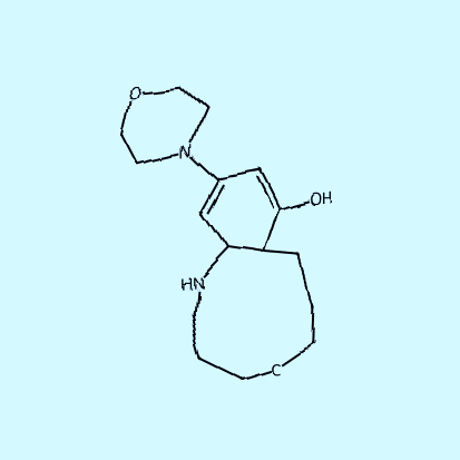 OC1=CC(N2CCOCC2)=CC2NCCCCCCCC12